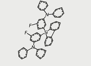 Fc1cc(N(c2ccccc2)c2ccccc2)cc([Si]2(c3cc(F)cc(N(c4ccccc4)c4ccccc4)c3)c3ccccc3-c3ccccc32)c1